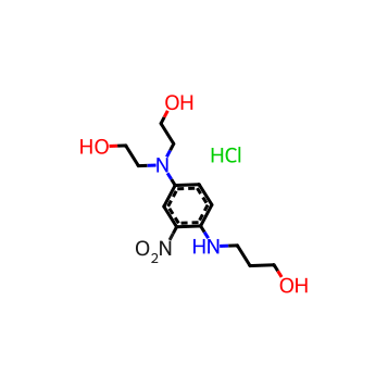 Cl.O=[N+]([O-])c1cc(N(CCO)CCO)ccc1NCCCO